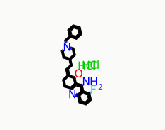 Cl.Cl.Nc1c2c(nc3cccc(F)c13)CC/C(=C/CC1CCN(Cc3ccccc3)CC1)C2=O